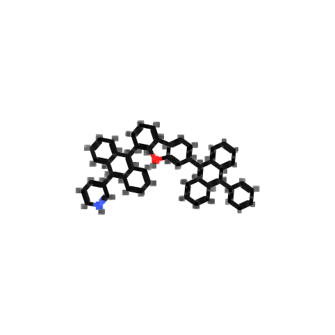 c1ccc(-c2c3ccccc3c(-c3ccc4c(c3)oc3c(-c5c6ccccc6c(-c6cccnc6)c6ccccc56)cccc34)c3ccccc23)cc1